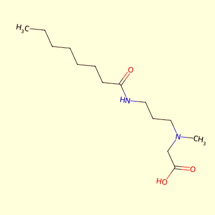 CCCCCCCC(=O)NCCCN(C)CC(=O)O